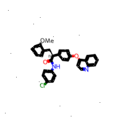 COc1ccccc1C[C@H](C(=O)Nc1ccc(Cl)cc1)c1ccc(Oc2ccnc3ccccc23)cc1